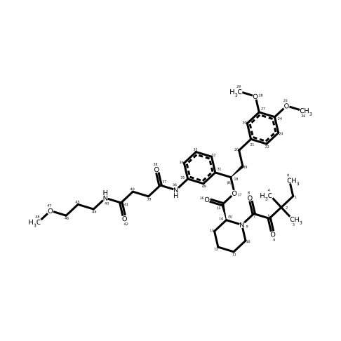 CCC(C)(C)C(=O)C(=O)N1CCCC[C@H]1C(=O)O[C@H](CCc1ccc(OC)c(OC)c1)c1cccc(NC(=O)CCC(=O)NCCCOC)c1